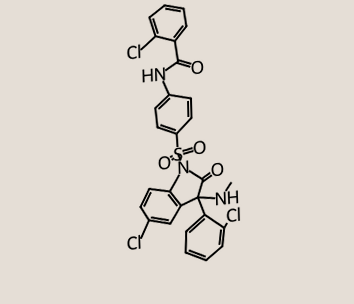 CNC1(c2ccccc2Cl)C(=O)N(S(=O)(=O)c2ccc(NC(=O)c3ccccc3Cl)cc2)c2ccc(Cl)cc21